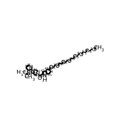 COCCOCCOCCOCCOCCOCCOCCOc1ccc2[nH]c(C(=O)N3CCN(c4ncccc4NC(C)C)CC3)cc2c1